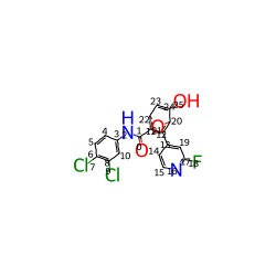 O=C(Nc1ccc(Cl)c(Cl)c1)c1c(-c2ccnc(F)c2)c2oc1cc2O